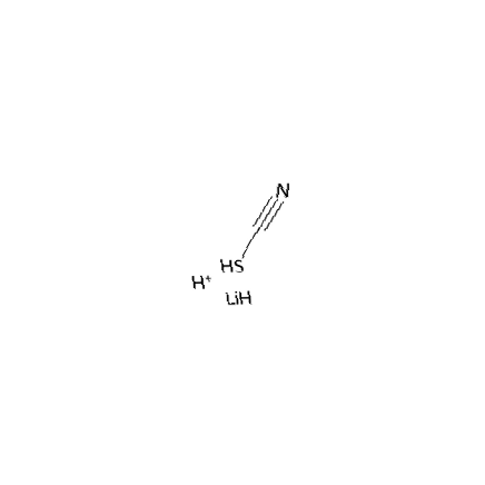 N#CS.[H+].[LiH]